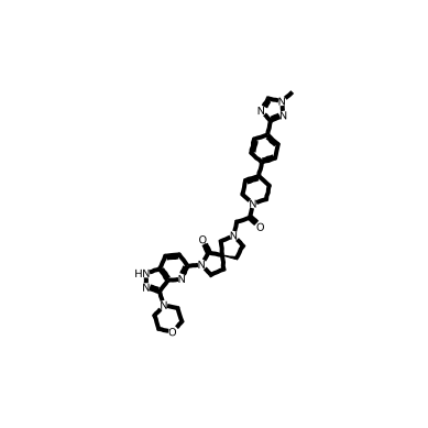 Cn1cnc(-c2ccc(C3=CCN(C(=O)CN4CC[C@]5(CCN(c6ccc7[nH]nc(N8CCOCC8)c7n6)C5=O)C4)CC3)cc2)n1